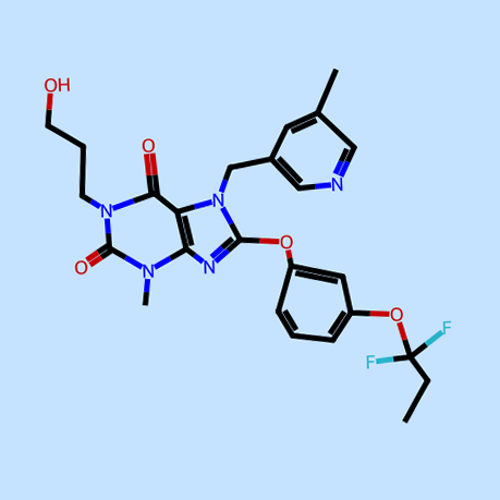 CCC(F)(F)Oc1cccc(Oc2nc3c(c(=O)n(CCCO)c(=O)n3C)n2Cc2cncc(C)c2)c1